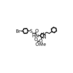 COC(=O)Oc1nn(CCc2ccccc2)cc1NC(=O)CSc1ccc(Br)cc1